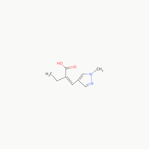 CCC(=Cc1cnn(C)c1)C(=O)O